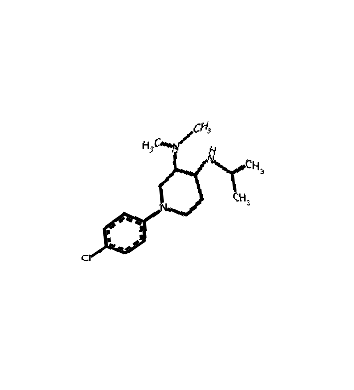 CC(C)NC1CCN(c2ccc(Cl)cc2)CC1N(C)C